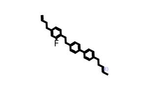 C=CCCc1ccc(CCc2ccc(-c3ccc(CC/C=C/C)cc3)cc2)c(F)c1